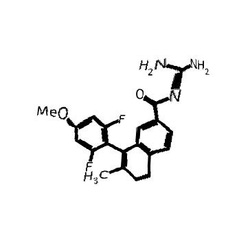 COc1cc(F)c(C2=C(C)CCc3ccc(C(=O)N=C(N)N)cc32)c(F)c1